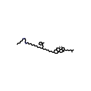 CCCCC/C=C\C/C=C\CCCCCCCCCCC(CCCCCCCC1CCC2(C)C(=CCC3C2CCC2(C)C(CCCCC(C)C)CC[C@@H]32)C1)CN1CCCCC1C